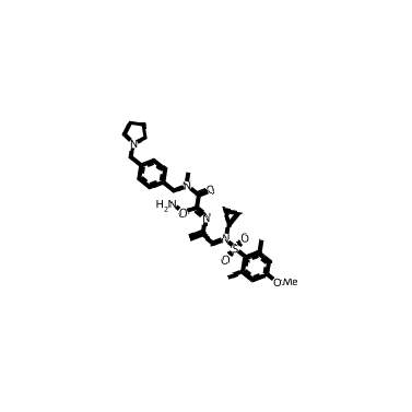 C=C(CN(C1CC1)S(=O)(=O)c1c(C)cc(OC)cc1C)/N=C(\ON)C(=O)N(C)Cc1ccc(CN2CCCC2)cc1